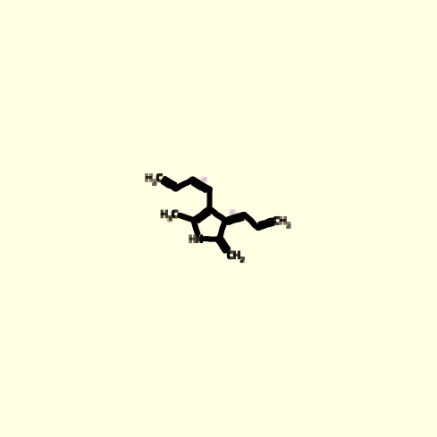 C=C/C=C\c1c(C)[nH]c(=C)/c1=C\C=C